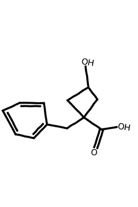 O=C(O)C1(Cc2ccccc2)CC(O)C1